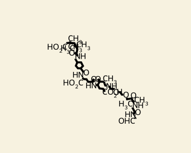 CC(CNCCOCCOCC(=O)C(C)(C)NCC(=O)NCC=O)C(=O)C(CCC(=O)O)NC(=O)CCC(NC(=O)C1CCC(CNC(=O)CC(C)(C)CC(C)(C)CC(=O)O)CC1)C(=O)O